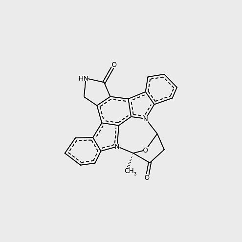 C[C@]12OC(CC1=O)n1c3ccccc3c3c4c(c5c6ccccc6n2c5c31)CNC4=O